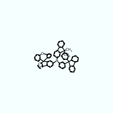 CC1(C)c2ccccc2-c2ccc(N(c3cccc(C4(c5ccccc5)c5ccccc5-c5ccccc54)c3)c3ccc4c(c3)C3(c5ccccc5Oc5ccccc53)c3ccccc3-4)cc21